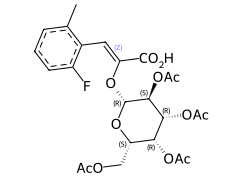 CC(=O)OC[C@@H]1O[C@H](O/C(=C\c2c(C)cccc2F)C(=O)O)[C@@H](OC(C)=O)[C@H](OC(C)=O)[C@@H]1OC(C)=O